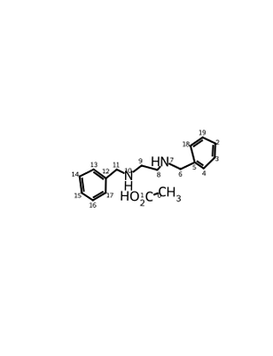 CC(=O)O.c1ccc(CNCCNCc2ccccc2)cc1